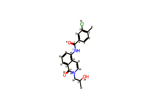 Cc1ccc(C(=O)Nc2cccc3c(=O)n(CC(C)O)ccc23)cc1Cl